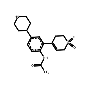 O=C(Nc1ccc(C2CCNCC2)cc1C1=CCS(=O)(=O)CC1)C(F)(F)F